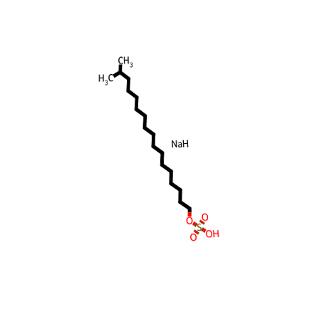 CC(C)CCCCCCCCCCCCCCCOS(=O)(=O)O.[NaH]